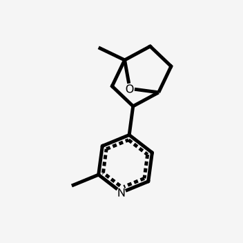 Cc1cc(C2CC3(C)CCC2O3)ccn1